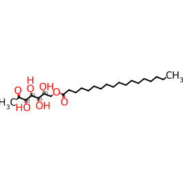 CCCCCCCCCCCCCCCCCC(=O)OC[C@@H](O)[C@@H](O)[C@H](O)[C@@H](O)C(C)=O